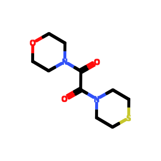 O=C(C(=O)N1CCSCC1)N1CCOCC1